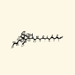 CCCCCCCCCCCCCCCC(CC)C(CC)(OCCCC)C(=O)O